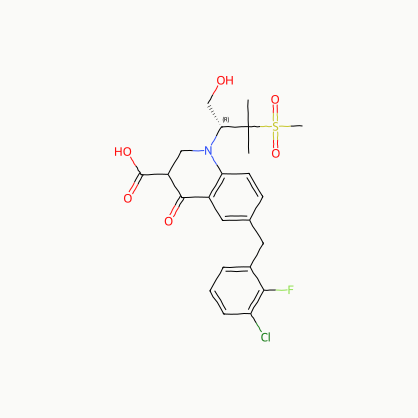 CC(C)([C@@H](CO)N1CC(C(=O)O)C(=O)c2cc(Cc3cccc(Cl)c3F)ccc21)S(C)(=O)=O